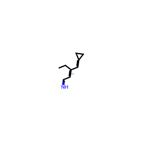 CC/C(C=C1CC1)=C\C=N